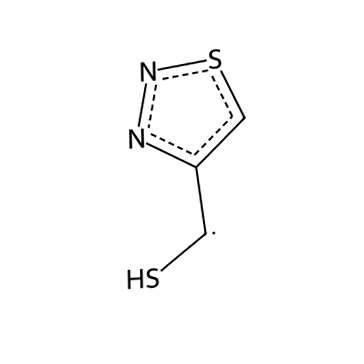 S[CH]c1csnn1